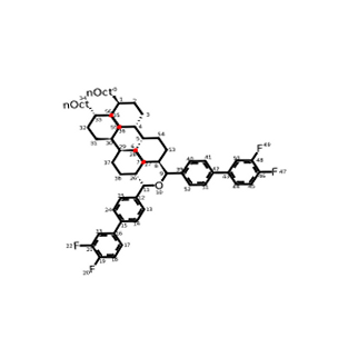 CCCCCCCC[C@H]1CC[C@H]([C@H]2CC[C@H](C(OC(c3ccc(-c4ccc(F)c(F)c4)cc3)[C@H]3CC[C@H]([C@H]4CC[C@H](CCCCCCCC)CC4)CC3)c3ccc(-c4ccc(F)c(F)c4)cc3)CC2)CC1